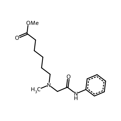 COC(=O)CCCCCN(C)CC(=O)Nc1ccccc1